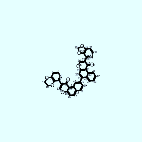 O=c1c(-c2nccc3c2OCCO3)coc2ccc3ccc(-c4cc5occ(-c6nccc7c6OCO7)c(=O)c5c5ccccc45)cc3c12